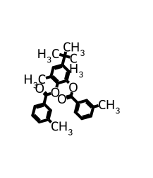 Cc1cccc(C(=O)Oc2cc(C(C)(C)C)cc(C)c2OC(=O)c2cccc(C)c2)c1